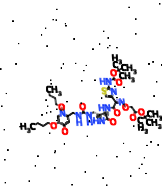 CCCCOc1cn(OCCCC)c(CNC(=O)NC[C@H]2NC(=O)[C@H]2NC(=O)/C(=N\OCC(=O)OC(C)(C)C)c2csc(NC(=O)OC(C)(C)C)n2)cc1=O